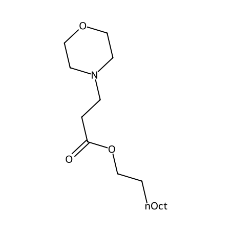 CCCCCCCCCCOC(=O)CCN1CCOCC1